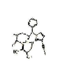 CC#Cc1ccn(C(c2ccccc2)C2CN(C)C(=O)C3=C(O)C(O)C=NN32)n1